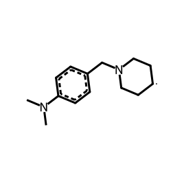 CN(C)c1ccc(CN2CC[CH]CC2)cc1